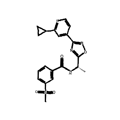 C[C@H](NC(=O)c1cccc(S(C)(=O)=O)c1)c1nc(-c2ccnc(C3CC3)c2)no1